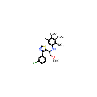 COc1c(C)cc(NC(COC=O)c2scnc2-c2cccc(Cl)c2)c([N+](=O)[O-])c1OC